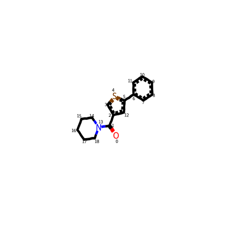 O=C(c1csc(-c2ccccc2)c1)N1CCCCC1